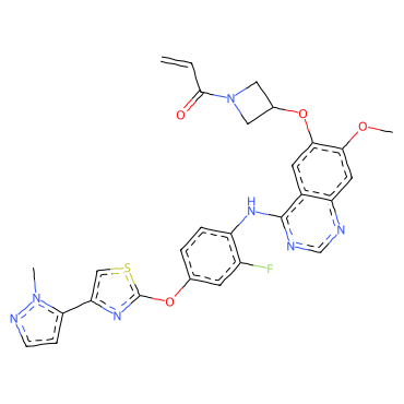 C=CC(=O)N1CC(Oc2cc3c(Nc4ccc(Oc5nc(-c6ccnn6C)cs5)cc4F)ncnc3cc2OC)C1